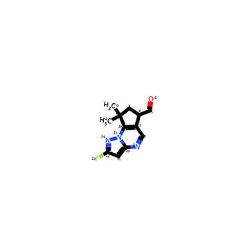 CC1(C)CC(C=O)c2cnc3cc(F)nn3c21